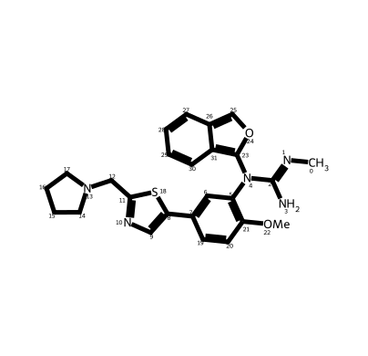 CN=C(N)N(c1cc(-c2cnc(CN3CCCC3)s2)ccc1OC)c1occ2ccccc12